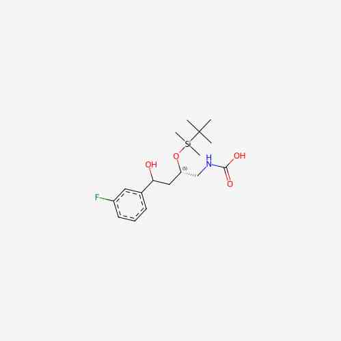 CC(C)(C)[Si](C)(C)O[C@H](CNC(=O)O)CC(O)c1cccc(F)c1